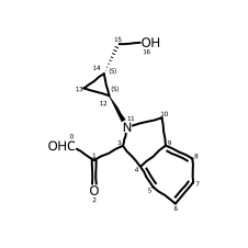 O=CC(=O)C1c2ccccc2CN1[C@H]1C[C@@H]1CO